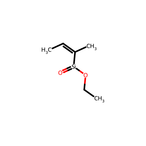 CC=C(C)[Si](=O)OCC